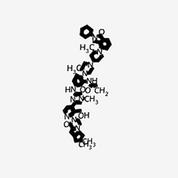 C=CC(=O)Nc1cc(Nc2nc(-c3ccnc(N4CCn5c(cc6c5CC(C)(C)C6)C4=O)c3CO)cn(C)c2=O)ccc1N1CCN(C2CCN(c3cccc4c3CN(C3CCCCC3)C4=O)[C@H](C)C2)C[C@@H]1C